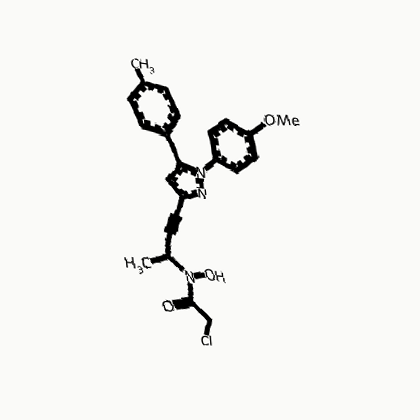 COc1ccc(-n2nc(C#CC(C)N(O)C(=O)CCl)cc2-c2ccc(C)cc2)cc1